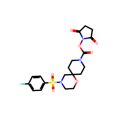 O=C(ON1C(=O)CCC1=O)N1CCC2(CC1)CN(S(=O)(=O)c1ccc(F)cc1)CCO2